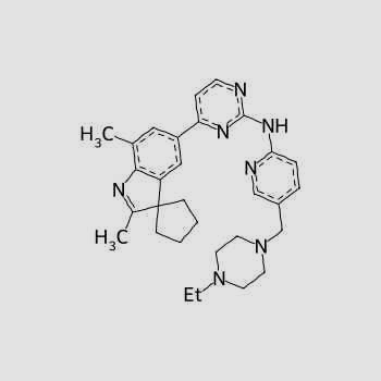 CCN1CCN(Cc2ccc(Nc3nccc(-c4cc(C)c5c(c4)C4(CCCC4)C(C)=N5)n3)nc2)CC1